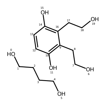 OCCCCO.OCCc1c(O)ccc(O)c1CCO